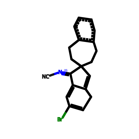 N#C/N=C1\C2=CC(Br)=CCC2=CC12CCc1ccccc1CC2